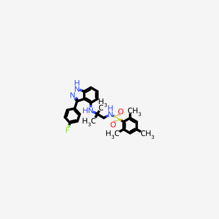 Cc1cc(C)c(S(=O)(=O)NCC(C)(C)Nc2cccc3[nH]nc(-c4ccc(F)cc4)c23)c(C)c1